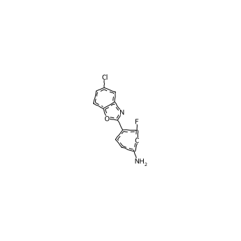 Nc1ccc(-c2nc3cc(Cl)ccc3o2)c(F)c1